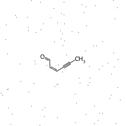 CC#C/C=C\C=O